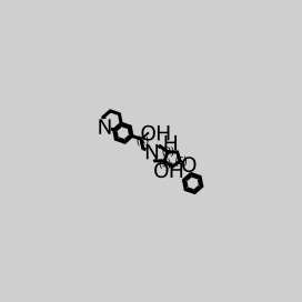 O[C@@H](CN1C[C@H]2C[C@H](Oc3ccccc3)C[C@@]2(O)C1)c1ccc2c(c1)CCC=N2